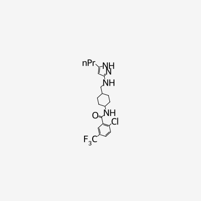 CCCc1cc(NCC2CCC(NC(=O)c3cc(C(F)(F)F)ccc3Cl)CC2)n[nH]1